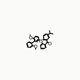 COc1ccccc1-c1cc([SH]2c3ccccc3C(=O)c3cc(C(C)C)ccc32)ccc1OC